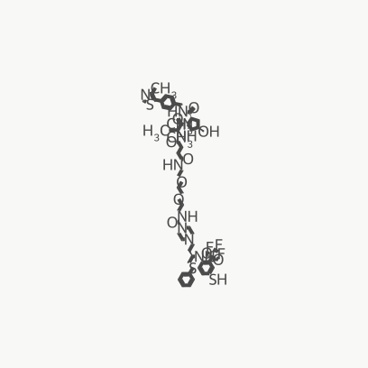 Cc1ncsc1-c1ccc(CNC(=O)[C@@H]2C[C@@H](O)CN2C(=O)[C@@H](NC(=O)CCC(=O)NCCOCCOCCNC(=O)N2CCN(CC[C@H](CSc3ccccc3)Nc3ccc(S)cc3S(=O)(=O)C(F)(F)F)CC2)C(C)(C)C)cc1